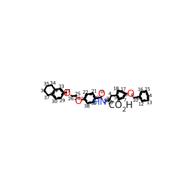 O=C(N[C@@H](Cc1ccc(OCc2ccccc2)cc1)C(=O)O)c1ccc(OCCOc2ccc3c(c2)CCCC3)cc1